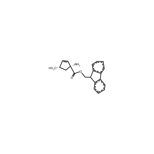 N[C@@]1(C(=O)OCC2c3ccccc3-c3ccccc32)C=C[C@@H](C(=O)O)C1